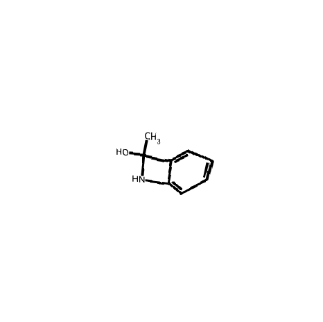 CC1(O)Nc2ccccc21